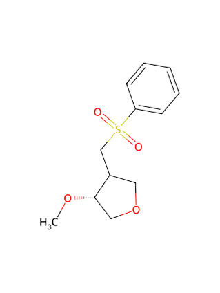 CO[C@H]1COCC1CS(=O)(=O)c1ccccc1